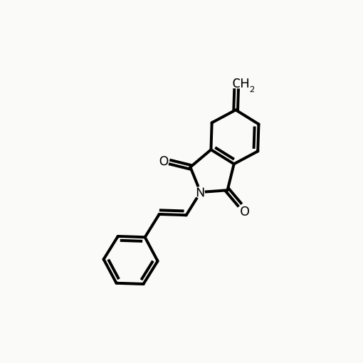 C=C1C=CC2=C(C1)C(=O)N(C=Cc1ccccc1)C2=O